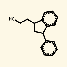 N#CCCC1CC(c2ccccc2)c2ccccc21